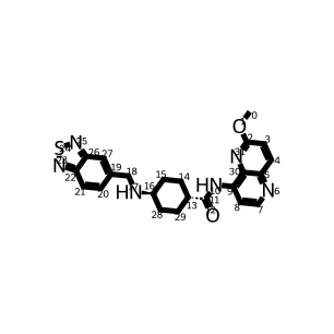 COc1ccc2nccc(NC(=O)[C@H]3CC[C@H](NCc4ccc5nsnc5c4)CC3)c2n1